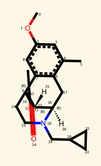 COc1cc(C)c2c(c1)[C@@]13CCCC(=O)[C@H]1[C@@H](C2)N(CC1CC1)CC3